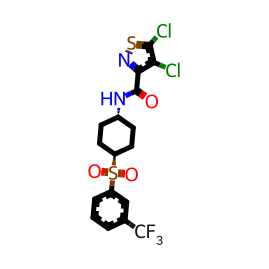 O=C(N[C@H]1CC[C@H](S(=O)(=O)c2cccc(C(F)(F)F)c2)CC1)c1nsc(Cl)c1Cl